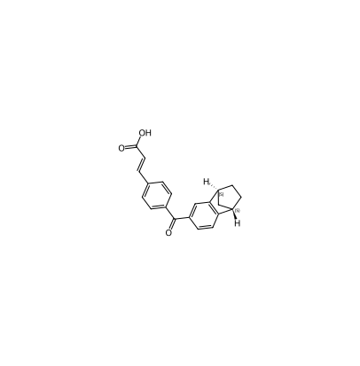 O=C(O)C=Cc1ccc(C(=O)c2ccc3c(c2)[C@H]2CC[C@H]3C2)cc1